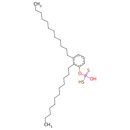 CCCCCCCCCCCCc1cccc(OP(O)(=S)S)c1CCCCCCCCCCCC